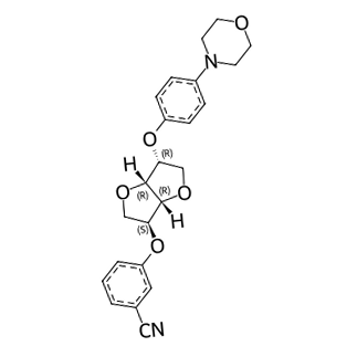 N#Cc1cccc(O[C@H]2CO[C@H]3[C@@H]2OC[C@H]3Oc2ccc(N3CCOCC3)cc2)c1